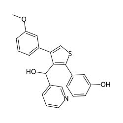 COc1cccc(-c2csc(-c3cccc(O)c3)c2C(O)c2cccnc2)c1